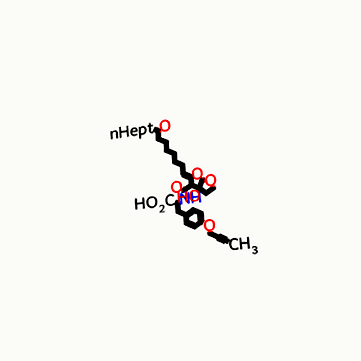 CC#CCOc1ccc(CC(NC(=O)C(C=CCCCCCCC(=O)CCCCCCC)C2(O)CCOC2=O)C(=O)O)cc1